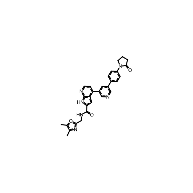 Cc1nc(CNC(=O)c2cc3c(-c4cncc(-c5ccc(N6CCCC6=O)cc5)c4)ccnc3[nH]2)oc1C